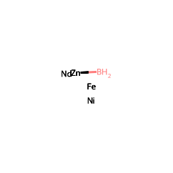 [BH2][Zn].[Fe].[Nd].[Ni]